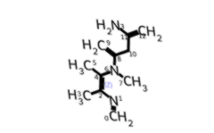 C=N/C(C)=C(/C)N(C)C(=C)CC(=C)N